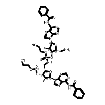 N#CCCO[PH](=S)O[C@H]1[C@@H](F)[C@H](N2C=NC3C(NC(=O)c4ccccc4)=NC=NC32)O[C@@H]1CNP(=S)(OCCC#N)O[C@H]1[C@@H](F)[C@H](n2cnc3c(NC(=O)c4ccccc4)ncnc32)O[C@@H]1CN